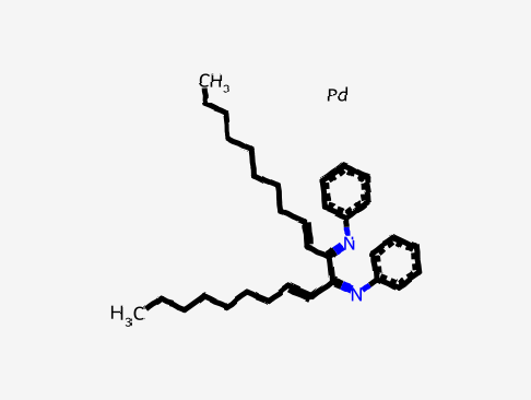 CCCCCCCC=CC(=Nc1ccccc1)C(C=CCCCCCCCC)=Nc1ccccc1.[Pd]